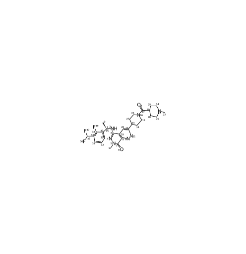 C[C@@H](Nc1nn(C)c(=O)c2nnc(C3CCN(C(=O)C4CCN(C)CC4)CC3)cc12)c1cccc(C(F)F)c1F